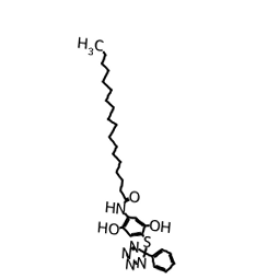 CCCCCCCCCCCCCCCCCC(=O)Nc1cc(O)c(SC2(c3ccccc3)N=NN=N2)cc1O